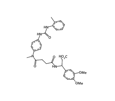 COc1ccc(C(CC(=O)O)NC(=O)CCC(=O)N(C)c2ccc(NC(=O)Nc3ccccc3C)cc2)cc1OC